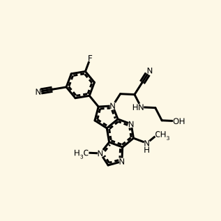 CNc1nc2c(cc(-c3cc(F)cc(C#N)c3)n2CC(C#N)NCCO)c2c1ncn2C